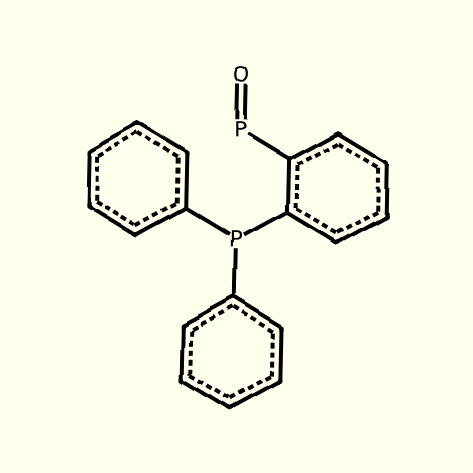 O=Pc1ccccc1P(c1ccccc1)c1ccccc1